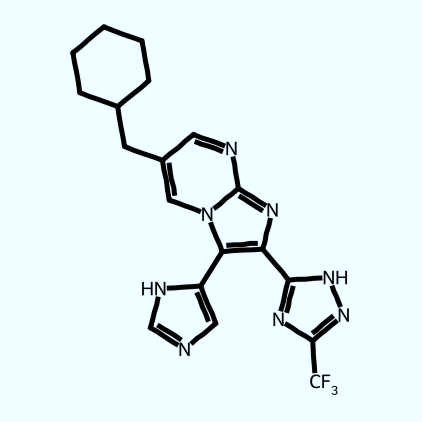 FC(F)(F)c1n[nH]c(-c2nc3ncc(CC4CCCCC4)cn3c2-c2cnc[nH]2)n1